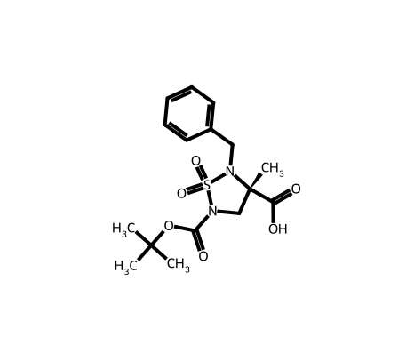 CC(C)(C)OC(=O)N1C[C@@](C)(C(=O)O)N(Cc2ccccc2)S1(=O)=O